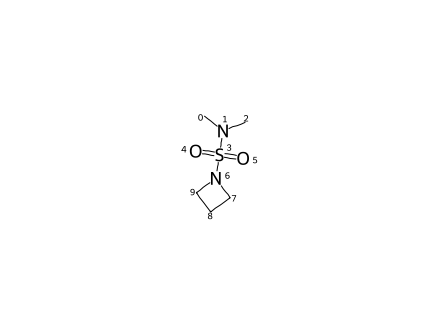 CN(C)S(=O)(=O)N1CCC1